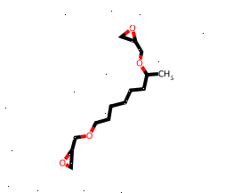 CC(CCCCCCOCC1CO1)OCC1CO1